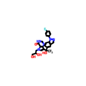 O=c1[nH]cnc2c(C(O)(c3ccc4c(cnn4-c4ccc(F)cc4)c3)C(F)(F)F)cn(CC(O)CO)c12